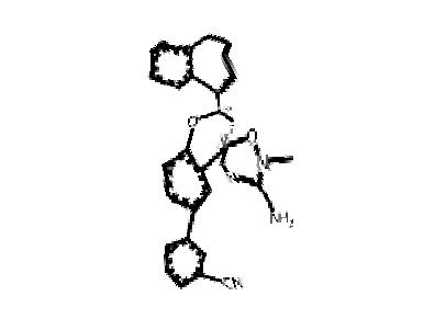 CN1O[C@@]2(C[C@H](C3CCCc4ccccc43)Oc3ccc(-c4cccc(C#N)c4)cc32)N=C1N